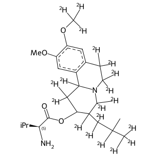 [2H]C([2H])([2H])Oc1cc2c(cc1OC)C1([2H])N(C([2H])([2H])C2([2H])[2H])C([2H])([2H])C([2H])(C([2H])([2H])C([2H])(C)C([2H])([2H])[2H])C(OC(=O)[C@@H](N)C(C)C)C1([2H])[2H]